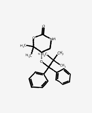 CC1(C)OC(=O)NC[C@@H]1OC(c1ccccc1)(c1ccccc1)C(C)(C)C